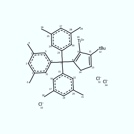 Cc1cc(C)cc(C(C2=[C]([Ti+3])C(C(C)(C)C)=CC2)(c2cc(C)cc(C)c2)c2cc(C)cc(C)c2)c1.[Cl-].[Cl-].[Cl-]